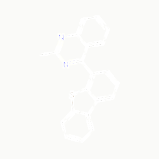 Cc1nc(-c2cccc3c2sc2ccccc23)c2ccccc2n1